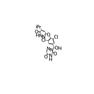 CC(C)c1cc(Oc2c(Cl)cc(C(O)n3ncc(=O)[nH]c3=O)cc2Cl)n[nH]c1=O